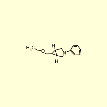 CCOCC1[C@H]2CN(c3ccccc3)C[C@@H]12